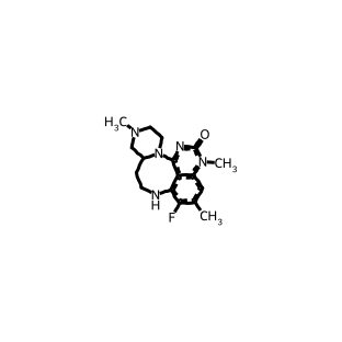 Cc1cc2c3c(nc(=O)n2C)N2CCN(C)CC2CCNc3c1F